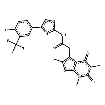 Cc1sc2c(c1CC(=O)Nc1nc(-c3ccc(F)c(C(F)(F)F)c3)cs1)c(=O)n(C)c(=O)n2C